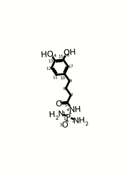 NP(N)(=O)NC(=O)CCCc1ccc(O)c(O)c1